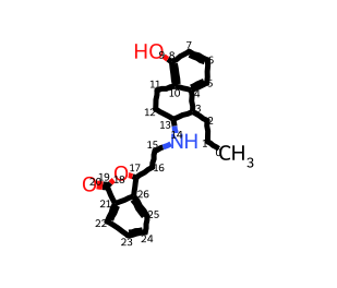 CCCC1c2cccc(O)c2CCC1NCCC1OC(=O)c2ccccc21